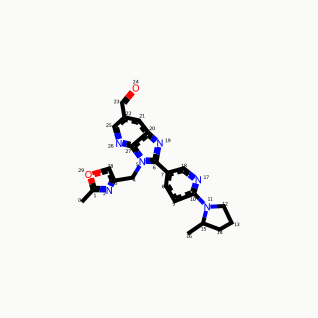 Cc1nc(Cn2c(-c3ccc(N4CCCC4C)nc3)nc3cc(C=O)cnc32)co1